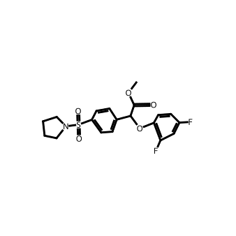 COC(=O)C(Oc1ccc(F)cc1F)c1ccc(S(=O)(=O)N2CCCC2)cc1